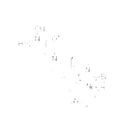 CN(C)C(=O)CN1CCC(C2=C3C=NC=C[N+]3(C)C(Br)=N2)CC1